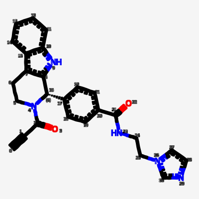 C#CC(=O)N1CCc2c([nH]c3ccccc23)[C@@H]1c1ccc(C(=O)NCCn2ccnc2)cc1